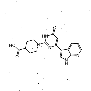 O=C(O)C1CCN(c2nc(-c3c[nH]c4ncccc34)cc(=O)[nH]2)CC1